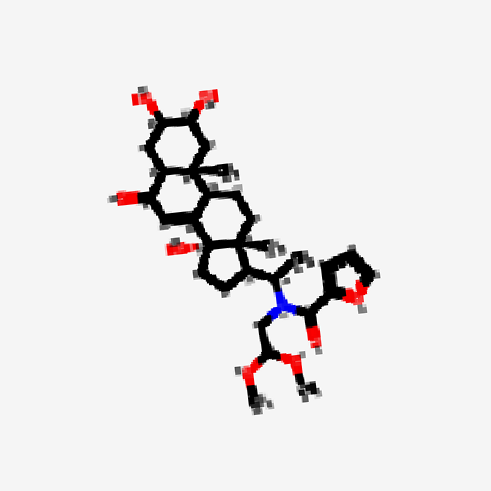 COC(CN(C(=O)c1ccco1)C(C)C1CC[C@@]2(O)C3=CC(=O)C4C[C@@H](O)C(O)CC4(C)C3CC[C@]12C)OC